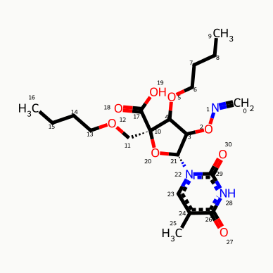 C=NOC1C(OCCCC)[C@](COCCCC)(C(=O)O)O[C@H]1n1cc(C)c(=O)[nH]c1=O